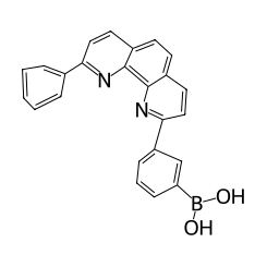 OB(O)c1cccc(-c2ccc3ccc4ccc(-c5ccccc5)nc4c3n2)c1